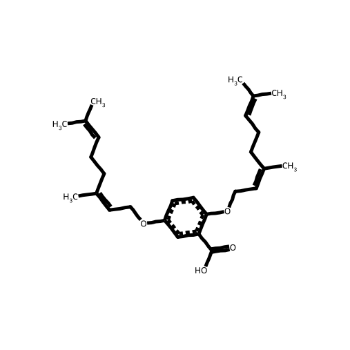 CC(C)=CCCC(C)=CCOc1ccc(OCC=C(C)CCC=C(C)C)c(C(=O)O)c1